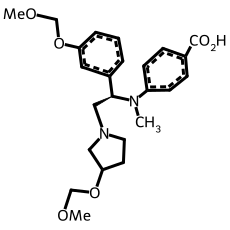 COCOc1cccc([C@H](CN2CCC(OCOC)C2)N(C)c2ccc(C(=O)O)cc2)c1